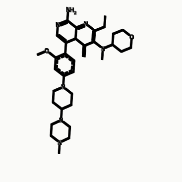 C=C1C(N(C)C2CCOCC2)=C(CC)N=C2C(N)=NC=C(c3ccc(N4CCC(N5CCN(C)CC5)CC4)cc3OC)C12